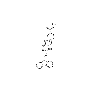 CNC(=O)[C@H](CC1CCN(C(=O)OC(C)(C)C)CC1)NC(=O)OCC1c2ccccc2-c2ccccc21